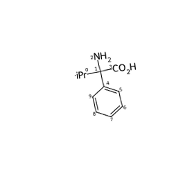 C[C](C)C(N)(C(=O)O)c1ccccc1